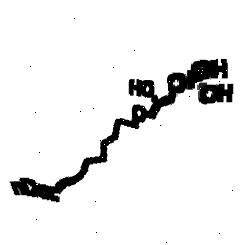 CCCCCCCCCCCCCCCCCCOC[C@@H](O)COP(O)O